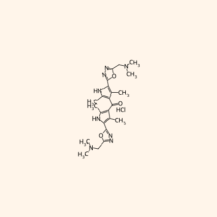 Cc1[nH]c(-c2nnc(CN(C)C)o2)c(C)c1C(=O)c1c(C)[nH]c(-c2nnc(CN(C)C)o2)c1C.Cl